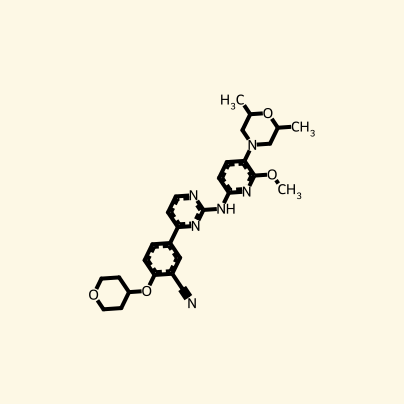 COc1nc(Nc2nccc(-c3ccc(OC4CCOCC4)c(C#N)c3)n2)ccc1N1CC(C)OC(C)C1